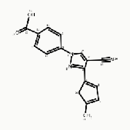 CC1=CC=C(c2nn(-c3ccc(C(=O)O)cc3)cc2C#N)C1